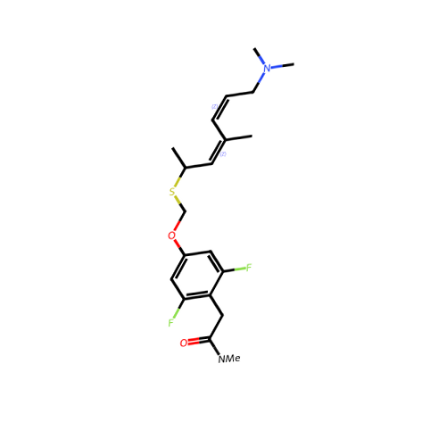 CNC(=O)Cc1c(F)cc(OCSC(C)/C=C(C)\C=C/CN(C)C)cc1F